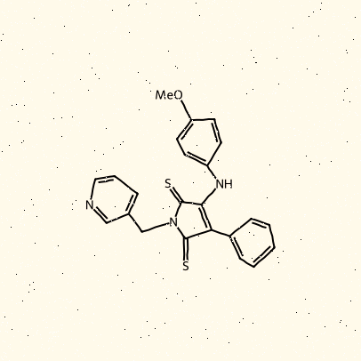 COc1ccc(NC2=C(c3ccccc3)C(=S)N(Cc3cccnc3)C2=S)cc1